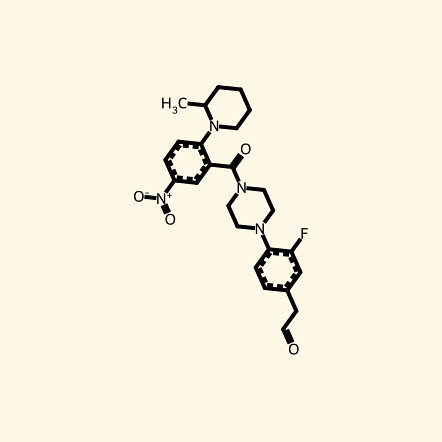 CC1CCCCN1c1ccc([N+](=O)[O-])cc1C(=O)N1CCN(c2ccc(CC=O)cc2F)CC1